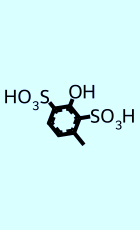 Cc1ccc(S(=O)(=O)O)c(O)c1S(=O)(=O)O